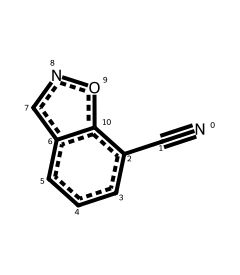 N#Cc1cccc2cnoc12